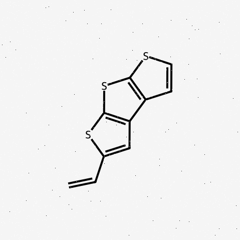 C=Cc1cc2c(s1)sc1sccc12